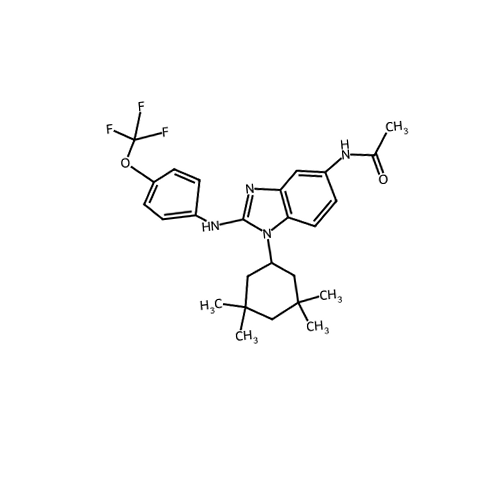 CC(=O)Nc1ccc2c(c1)nc(Nc1ccc(OC(F)(F)F)cc1)n2C1CC(C)(C)CC(C)(C)C1